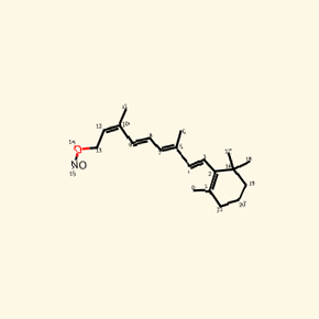 CC1=C(/C=C/C(C)=C/C=C/C(C)=C\CON=O)C(C)(C)CCC1